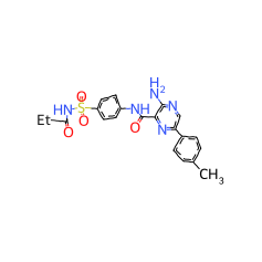 CCC(=O)NS(=O)(=O)c1ccc(NC(=O)c2nc(-c3ccc(C)cc3)cnc2N)cc1